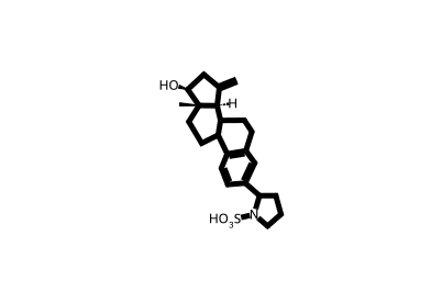 C=C1C[C@H](O)[C@@]2(C)CCC3c4ccc(C5CCCN5S(=O)(=O)O)cc4CCC3[C@H]12